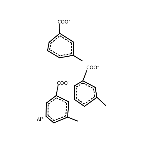 Cc1cccc(C(=O)[O-])c1.Cc1cccc(C(=O)[O-])c1.Cc1cccc(C(=O)[O-])c1.[Al+3]